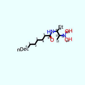 CCCCCCCCCCCCCCCC(=O)NC(CC)C(C)N(O)O